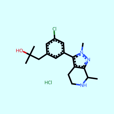 CC1NCCc2c1nn(C)c2-c1cc(Cl)cc(CC(C)(C)O)c1.Cl